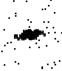 Nc1ncnc2c1ncn2[C@H]1C[C@H]2OP(=O)(O)OCC3O[C@@H](n4cnc5c(N)ncnc54)C[C@H]3OP(=O)(O)OCC2O1